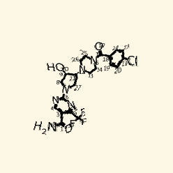 NC(=O)c1cnc(N2C[C@@H](O)[C@H](N3CCN(C(=O)c4ccc(Cl)cc4)CC3)C2)nc1C(F)(F)F